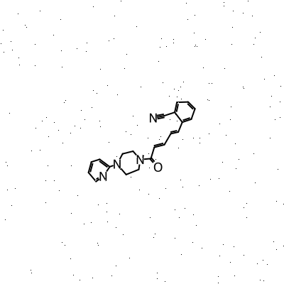 N#Cc1ccccc1/C=C/C=C/C(=O)N1CCN(c2ccccn2)CC1